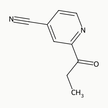 CCC(=O)c1cc(C#N)ccn1